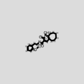 Cn1c2c(cc(C(=O)N[C@H](CO)Cc3ccccc3)c1=O)CCCCCC2